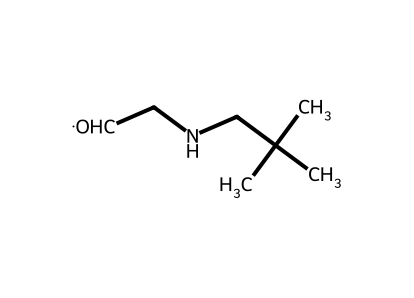 CC(C)(C)CNC[C]=O